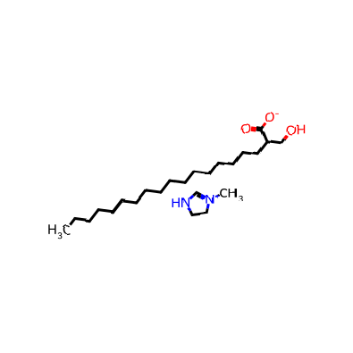 CCCCCCCCCCCCCCCCCC(CO)C(=O)[O-].C[N+]1=CNCC1